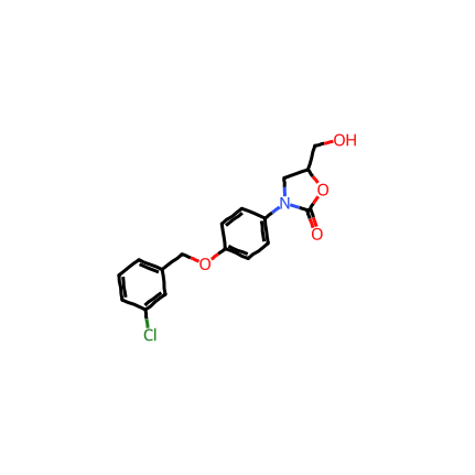 O=C1OC(CO)CN1c1ccc(OCc2cccc(Cl)c2)cc1